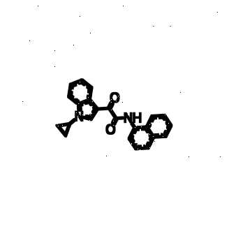 O=C(Nc1cccc2ccccc12)C(=O)c1cn(C2CC2)c2ccccc12